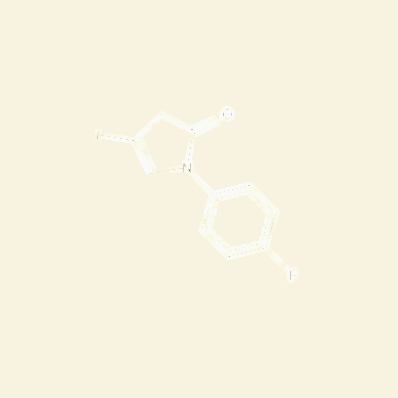 O=C1CC(I)=CN1c1ccc(F)cc1